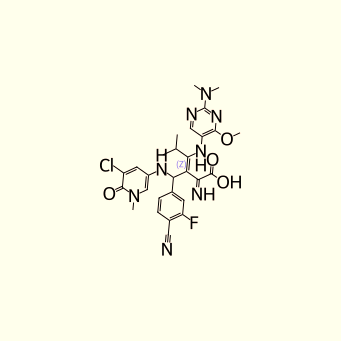 COc1nc(N(C)C)ncc1N/C(=C(\C(=N)C(=O)O)C(Nc1cc(Cl)c(=O)n(C)c1)c1ccc(C#N)c(F)c1)C(C)C